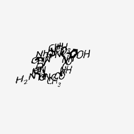 CC[C@H](C)[C@@H]1NC(=O)[C@H](Cc2ccc(O)cc2)NC(=O)CNC(=O)CC[C@@H](C)NC(=O)[C@H](CC(N)=O)NC(=O)[C@H](CCC(N)=O)NC1=O